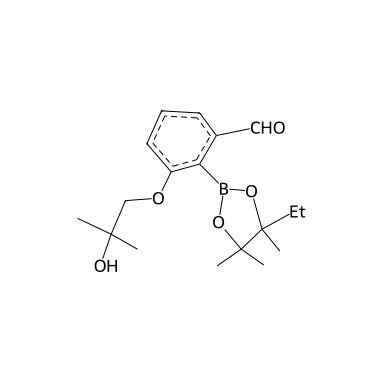 CCC1(C)OB(c2c(C=O)cccc2OCC(C)(C)O)OC1(C)C